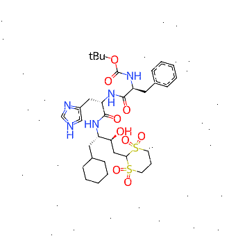 CC(C)(C)OC(=O)N[C@@H](Cc1ccccc1)C(=O)N[C@@H](Cc1c[nH]cn1)C(=O)N[C@@H](CC1CCCCC1)[C@@H](O)CC1S(=O)(=O)CCCS1(=O)=O